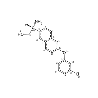 C[C@](N)(CO)c1ccc2cc(Oc3cccc(Cl)c3)ccc2c1